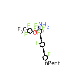 CCCCCc1ccc(C#Cc2ccc(C#CC/C=C(F)\C(=C(/N)F)C(F)(F)Oc3cc(F)c(C(F)(F)F)c(F)c3)c(F)c2)c(F)c1